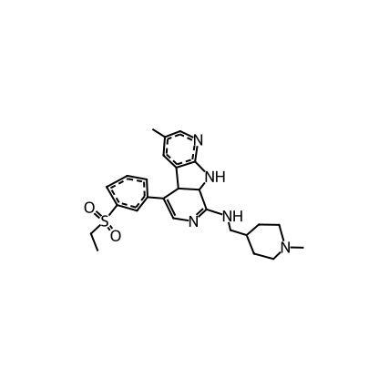 CCS(=O)(=O)c1cccc(C2=CN=C(NCC3CCN(C)CC3)C3Nc4ncc(C)cc4C23)c1